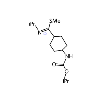 CS/C(=N\C(C)C)C1CCC(NC(=O)OC(C)C)CC1